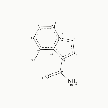 Cc1ccnn2ccc(C(N)=O)c12